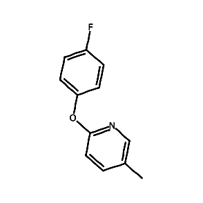 Cc1ccc(Oc2ccc(F)cc2)nc1